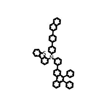 c1ccc(-c2c(-c3ccccc3)c3cc(-c4cccc(N(c5ccc(-c6ccc(-c7ccc8ccccc8c7)cc6)cc5)c5cccc6c5sc5ccccc56)c4)ccc3c3ccccc23)cc1